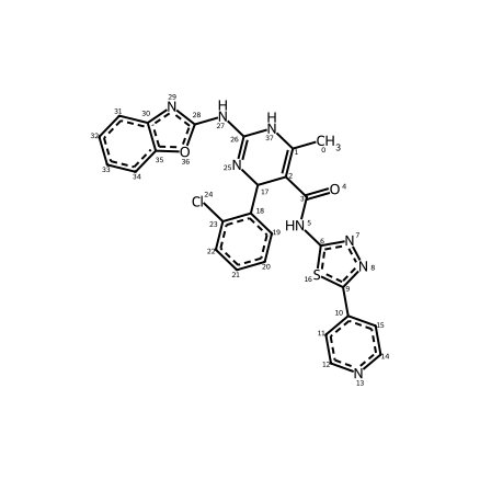 CC1=C(C(=O)Nc2nnc(-c3ccncc3)s2)C(c2ccccc2Cl)N=C(Nc2nc3ccccc3o2)N1